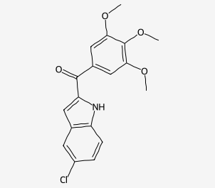 COc1cc(C(=O)c2cc3cc(Cl)ccc3[nH]2)cc(OC)c1OC